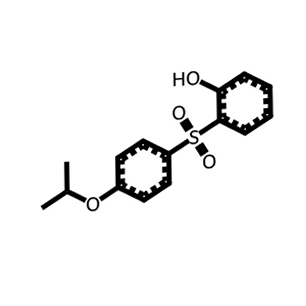 CC(C)Oc1ccc(S(=O)(=O)c2ccccc2O)cc1